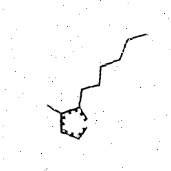 O=C(O)c1ccsc1CCCCCI